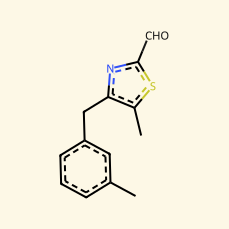 Cc1cccc(Cc2nc(C=O)sc2C)c1